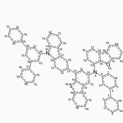 c1ccc(-c2cccc(N(c3cc(-c4ccc5c(c4)c4ccccc4n5-c4cc(-c5ccccc5)cc(-c5ccccc5)c4)c4sc5ccccc5c4c3)c3cccc4c3oc3ccccc34)c2)cc1